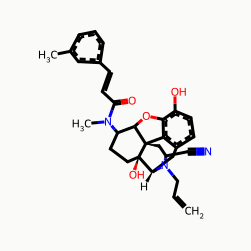 C=CCN1C(C#N)C[C@]23c4c5ccc(O)c4OC2C(N(C)C(=O)/C=C/c2cccc(C)c2)CC[C@@]3(O)[C@H]1C5